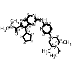 CCN1[C@H](C)CN(c2ccc(Nc3ncc4sc(C(=O)N(C)C)c(C5CCCC5)c4n3)nc2)C[C@@H]1C